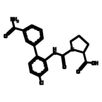 NC(=O)c1cccc(-c2ccc(Cl)cc2NC(=O)N2CCCC2C(=O)O)c1